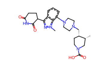 C[C@@H]1CN(C(=O)O)CC[C@@H]1CN1CCN(c2cccc3c(C4CCC(=O)NC4=O)nn(C)c23)CC1